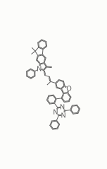 C=c1/c(=C\C=C(/C)c2ccc3oc4cccc(-c5ccccc5-c5nc(-c6ccccc6)nc(-c6ccccc6)n5)c4c3c2)n(-c2ccccc2)c2cc3c(cc12)-c1ccccc1C3(C)C